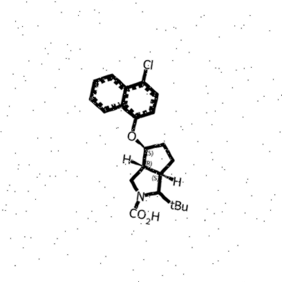 CC(C)(C)C1[C@H]2CC[C@H](Oc3ccc(Cl)c4ccccc34)[C@H]2CN1C(=O)O